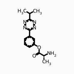 CC(C)c1nnc(-c2cccc(OC(=O)[C@H](C)N)c2)nn1